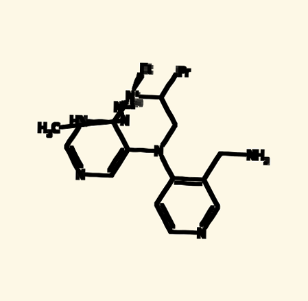 CC[N@@+]12C=NN(C)C13NC=NC=C3N(c1ccncc1CN)CC2C(C)C